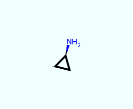 N[C@@H]1[CH]C1